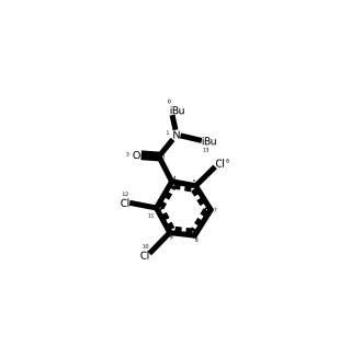 CCC(C)N(C(=O)c1c(Cl)ccc(Cl)c1Cl)C(C)CC